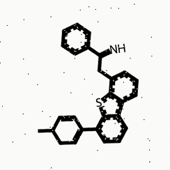 CC1C=CC(c2cccc3c2sc2c(CC(=N)c4ccccc4)cccc23)=CC1